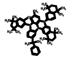 Cc1cc2c3c(c1)N(c1cc4c(cc1C)C(C)(C)CC4(C)C)c1ccc(C(C)(C)c4ccccc4)cc1B3c1cc3c(cc1N2c1ccc2c(c1)C(C)(C)CCC2(C)C)C(C)(C)CCC3(C)C